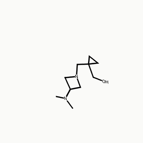 CN(C)C1CN(CC2(CO)CC2)C1